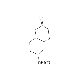 CCCCCC1CCC2CC(=O)CCC2C1